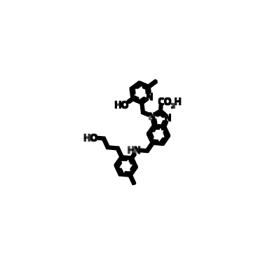 Cc1ccc(CCCO)c(NCc2ccc3nc(C(=O)O)n(Cc4nc(C)ccc4O)c3c2)c1